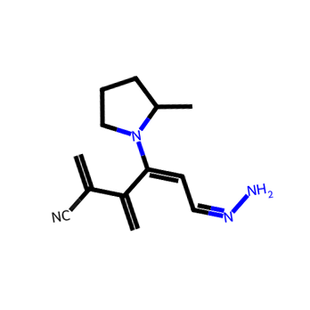 C=C(C#N)C(=C)/C(=C\C=N/N)N1CCCC1C